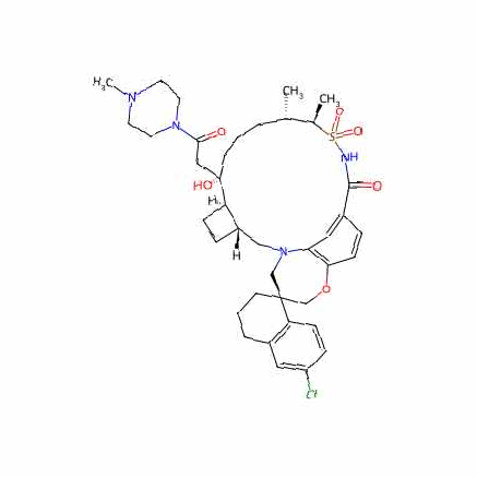 C[C@@H]1[C@@H](C)CCC[C@](O)(CC(=O)N2CCN(C)CC2)[C@@H]2CC[C@H]2CN2C[C@@]3(CCCc4cc(Cl)ccc43)COc3ccc(cc32)C(=O)NS1(=O)=O